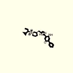 C=CC(C1CC1)S(=O)(=O)N1CCC[C@H](Cc2cnc(C3=CC(=O)C(c4ccccc4)=CC3=N)[nH]2)C1